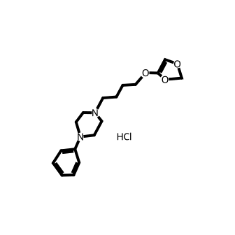 C1=C(OCCCCN2CCN(c3ccccc3)CC2)OCO1.Cl